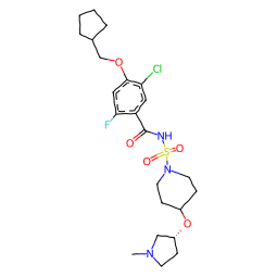 CN1CC[C@@H](OC2CCN(S(=O)(=O)NC(=O)c3cc(Cl)c(OCC4CCCC4)cc3F)CC2)C1